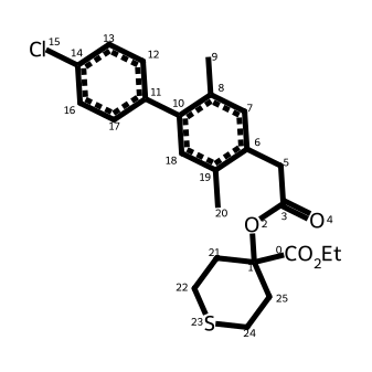 CCOC(=O)C1(OC(=O)Cc2cc(C)c(-c3ccc(Cl)cc3)cc2C)CCSCC1